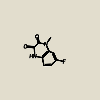 Cn1c(=O)c(=O)[nH]c2ccc(F)cc21